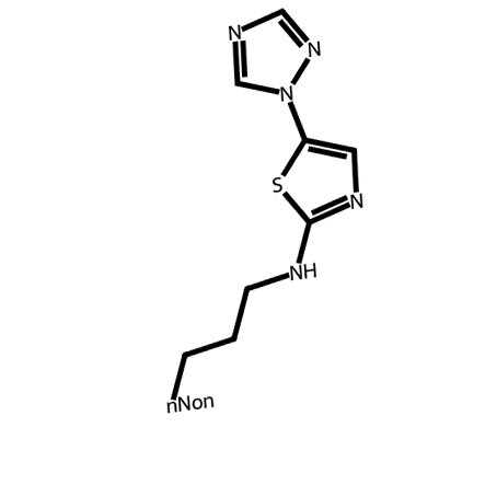 CCCCCCCCCCCCNc1ncc(-n2cncn2)s1